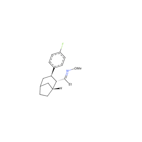 CCC(=NOC)[C@@H]1[C@@H]2CCC(C2)C[C@H]1c1ccc(F)cc1